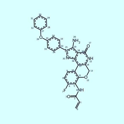 C=CC(=O)Nc1c(F)ccc2c1OCc1[nH]c(=O)c3c(N)n(-c4ccc(Oc5ccccc5)cc4)nc3c1-2